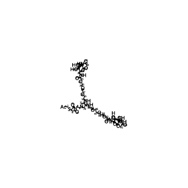 CC(=O)CSC1CC(=O)N(CCN2CC(NCCOCCOCCOCC(=O)NCC3OC4OCC(=O)N[C@@H]4[C@@H](O)[C@H]3O)C(NCCOCCOCCOCC(=O)NCC3OC4OCC(=O)N[C@@H]4[C@@H](O)[C@H]3O)C2)C1=O